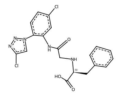 O=C(CN[C@@H](Cc1ccccc1)C(=O)O)Nc1cc(Cl)ccc1-n1cc(Cl)nn1